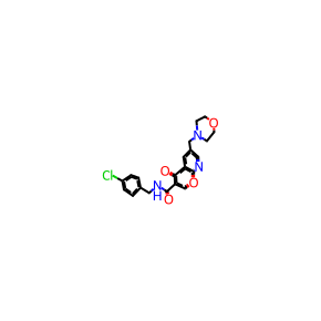 O=C(NCc1ccc(Cl)cc1)c1coc2ncc(CN3CCOCC3)cc2c1=O